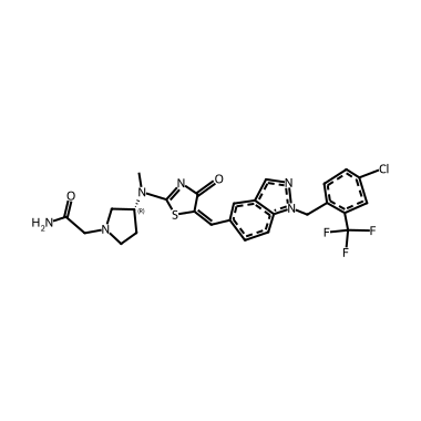 CN(C1=NC(=O)C(=Cc2ccc3c(cnn3Cc3ccc(Cl)cc3C(F)(F)F)c2)S1)[C@@H]1CCN(CC(N)=O)C1